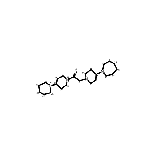 O=C(CN1CCC(N2CCCCCC2)CC1)N1CCC(N2CCCCC2)CC1